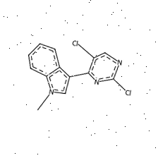 Cn1cc(-c2nc(Cl)ncc2Cl)c2ccccc21